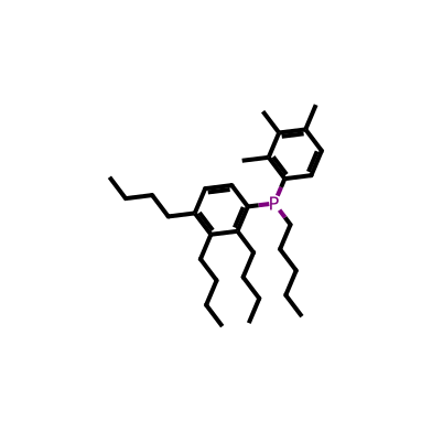 CCCCCP(c1ccc(C)c(C)c1C)c1ccc(CCCC)c(CCCC)c1CCCC